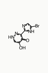 O=c1c(O)c[nH]nc1-c1ncc(Br)[nH]1